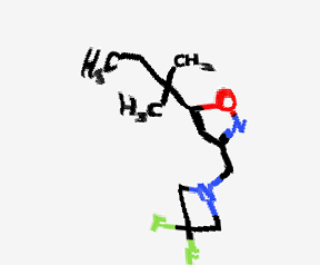 CCC(C)(C)c1cc(CN2CC(F)(F)C2)no1